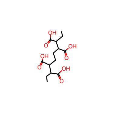 CCC(C(=O)O)C(CCC(C(=O)O)C(CC)C(=O)O)C(=O)O